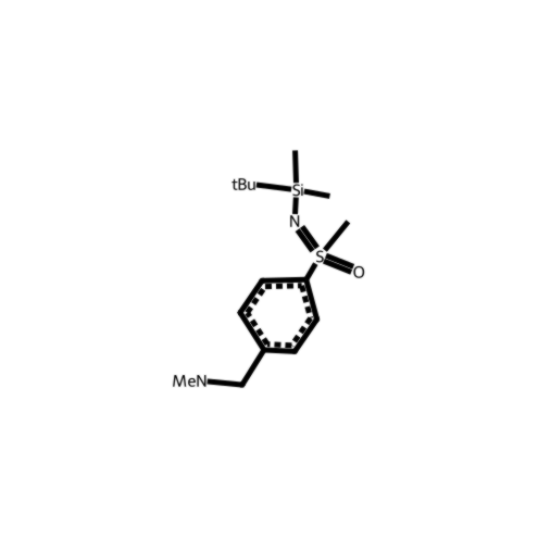 CNCc1ccc(S(C)(=O)=N[Si](C)(C)C(C)(C)C)cc1